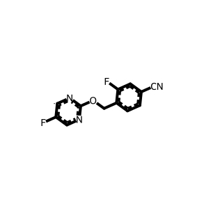 N#Cc1ccc(COc2n[c]c(F)cn2)c(F)c1